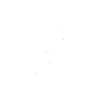 COc1ncc(CNc2ccc(Br)c(F)n2)cc1F